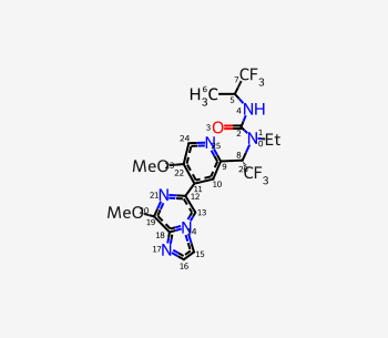 CCN(C(=O)NC(C)C(F)(F)F)[C@@H](c1cc(-c2cn3ccnc3c(OC)n2)c(OC)cn1)C(F)(F)F